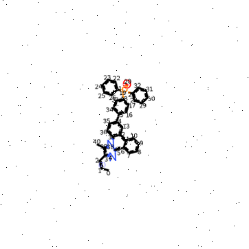 C/C=C\c1nc2c3ccccc3c3cc(-c4ccc(P(=O)(c5ccccc5)c5ccccc5)cc4)ccc3n2c1C